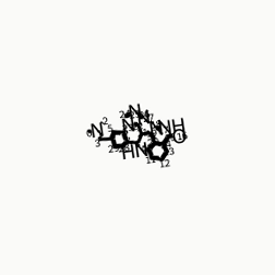 CN(C)Cc1ccc(C2Nc3cccc4c(=O)[nH]nc(c34)C2c2ncnn2C)cc1